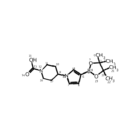 CC1(C)OB(c2ccn(C3CCN(C(=O)O)CC3)c2)OC1(C)C